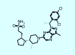 Cc1nn([C@H](C)c2ccc(Cl)cc2Cl)c2nc(N3CC[C@@H](N4CCC[C@H]4CCS(N)(=O)=O)[C@@H](C)C3)cnc12